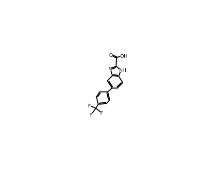 O=C(O)c1nc2cc(-c3ccc(C(F)(F)F)cc3)ccc2[nH]1